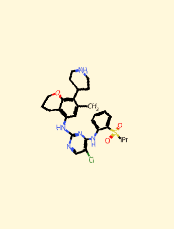 Cc1cc(Nc2ncc(Cl)c(Nc3ccccc3S(=O)(=O)C(C)C)n2)c2c(c1C1CCNCC1)OCCC2